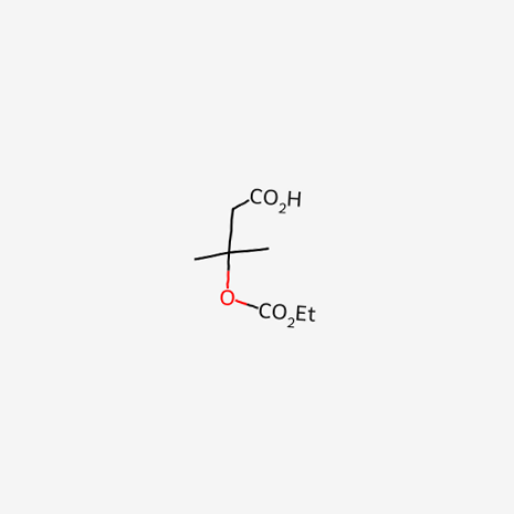 C[CH]OC(=O)OC(C)(C)CC(=O)O